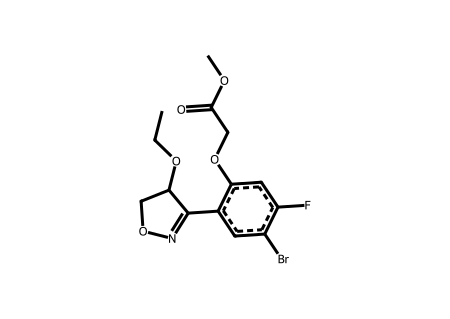 CCOC1CON=C1c1cc(Br)c(F)cc1OCC(=O)OC